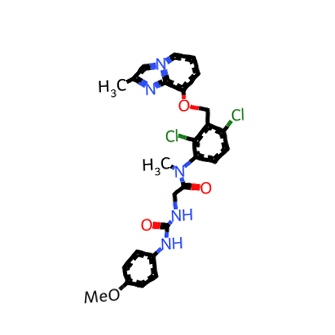 COc1ccc(NC(=O)NCC(=O)N(C)c2ccc(Cl)c(COc3cccn4cc(C)nc34)c2Cl)cc1